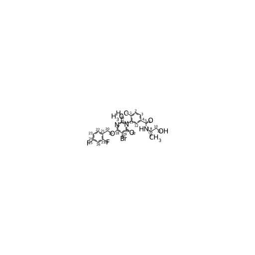 Cc1ccc(C(=O)N[C@@H](C)CO)cc1-n1c(C)nc(OCc2ccc(F)cc2F)c(Br)c1=O